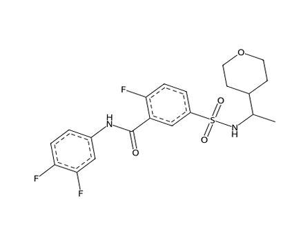 CC(NS(=O)(=O)c1ccc(F)c(C(=O)Nc2ccc(F)c(F)c2)c1)C1CCOCC1